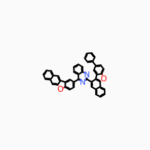 c1ccc(-c2ccc3oc4c5ccccc5cc(-c5nc(-c6ccc7oc8cc9ccccc9cc8c7c6)c6ccccc6n5)c4c3c2)cc1